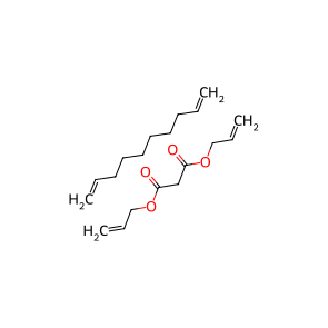 C=CCCCCCCC=C.C=CCOC(=O)CC(=O)OCC=C